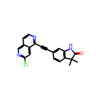 CC1(C)C(=O)Nc2cc(C#Cc3nccc4cnc(Cl)cc34)ccc21